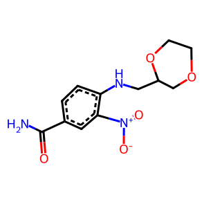 NC(=O)c1ccc(NCC2COCCO2)c([N+](=O)[O-])c1